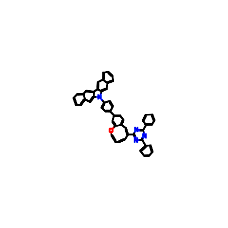 c1ccc(-c2nc(-c3ccccc3)nc(-c3ccccoc4cc(-c5ccc(-n6c7cc8ccccc8cc7c7cc8ccccc8cc76)cc5)ccc4c3)n2)cc1